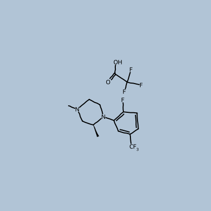 C[C@H]1CN(C)CCN1c1cc(C(F)(F)F)ccc1F.O=C(O)C(F)(F)F